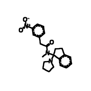 CN(C(=O)Cc1cccc([N+](=O)[O-])c1)C1(N2CCCC2)CCc2ccccc21